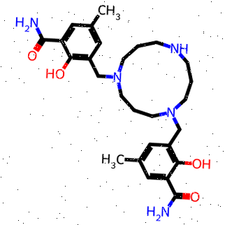 Cc1cc(CN2CCCNCCCN(Cc3cc(C)cc(C(N)=O)c3O)CCC2)c(O)c(C(N)=O)c1